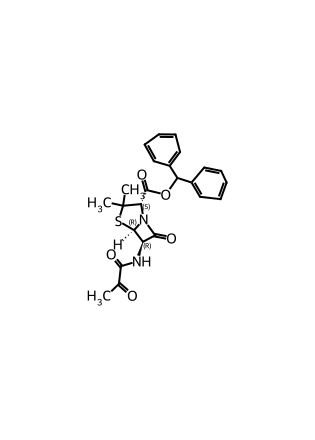 CC(=O)C(=O)N[C@@H]1C(=O)N2[C@@H]1SC(C)(C)[C@@H]2C(=O)OC(c1ccccc1)c1ccccc1